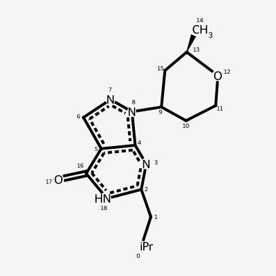 CC(C)Cc1nc2c(cnn2C2CCO[C@H](C)C2)c(=O)[nH]1